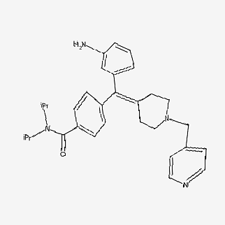 CC(C)N(C(=O)c1ccc(C(=C2CCN(Cc3ccncc3)CC2)c2cccc(N)c2)cc1)C(C)C